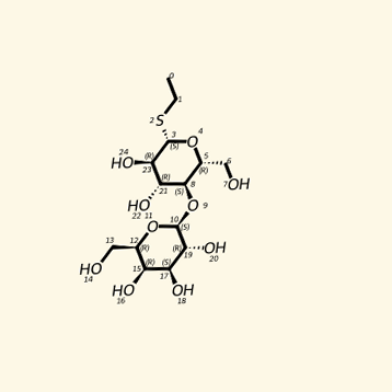 CCS[C@@H]1O[C@H](CO)[C@@H](O[C@@H]2O[C@H](CO)[C@H](O)[C@H](O)[C@H]2O)[C@H](O)[C@H]1O